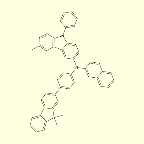 Cc1ccc2c(c1)c1cc(N(c3ccc(-c4ccc5c(c4)C(C)(C)c4ccccc4-5)cc3)c3ccc4ccccc4c3)ccc1n2-c1ccccc1